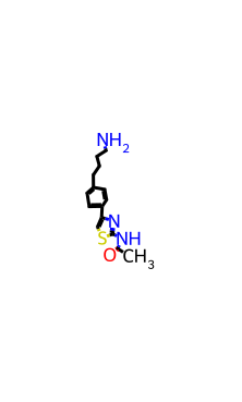 CC(=O)Nc1nc(-c2ccc(CCCCN)cc2)cs1